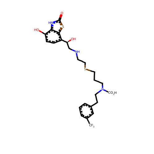 O=C(O)N(CCCSCCNC[C@H](O)c1ccc(O)c2[nH]c(=O)sc12)CCc1cccc(C(F)(F)F)c1